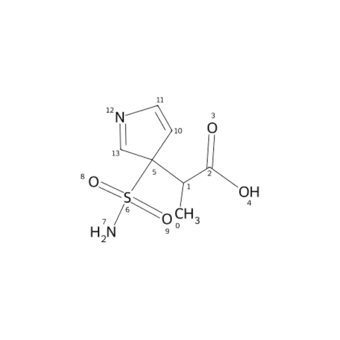 CC(C(=O)O)C1(S(N)(=O)=O)C=CN=C1